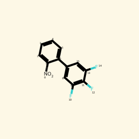 O=[N+]([O-])c1ccccc1-c1cc(F)c(F)c(F)c1